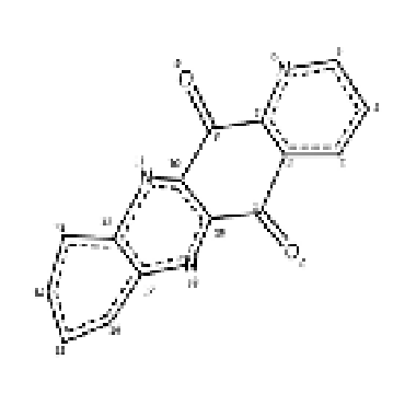 O=C1c2cccnc2C(=O)c2nc3ccccc3nc21